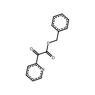 O=C(OCc1ccccc1)C(=O)c1ccccn1